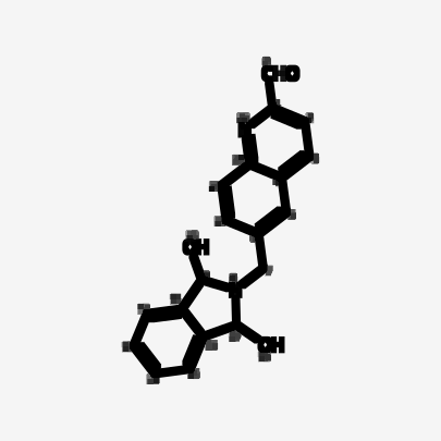 O=Cc1ccc2cc(CN3C(O)c4ccccc4C3O)ccc2n1